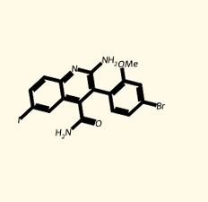 COc1cc(Br)ccc1-c1c(N)nc2ccc(I)cc2c1C(N)=O